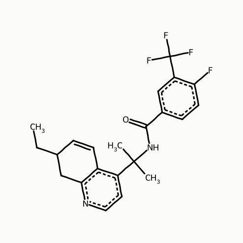 CCC1C=Cc2c(C(C)(C)NC(=O)c3ccc(F)c(C(F)(F)F)c3)ccnc2C1